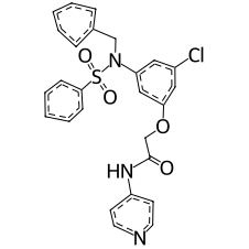 O=C(COc1cc(Cl)cc(N(Cc2ccccc2)S(=O)(=O)c2ccccc2)c1)Nc1ccncc1